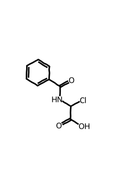 O=C(NC(Cl)C(=O)O)c1ccccc1